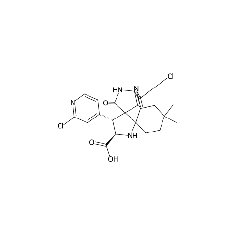 CC1(C)CCC2(CC1)N[C@@H](C(=O)O)[C@H](c1ccnc(Cl)c1)C21C(=O)Nc2nc(Cl)ccc21